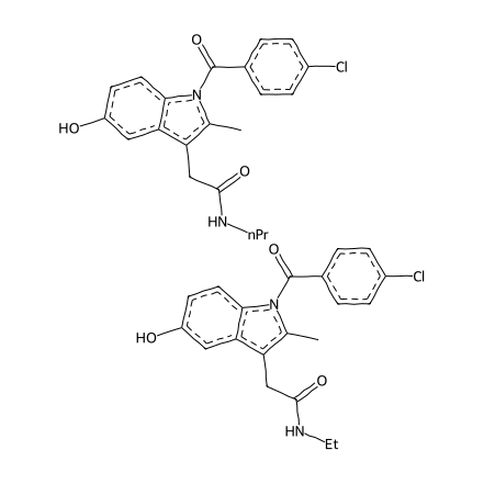 CCCNC(=O)Cc1c(C)n(C(=O)c2ccc(Cl)cc2)c2ccc(O)cc12.CCNC(=O)Cc1c(C)n(C(=O)c2ccc(Cl)cc2)c2ccc(O)cc12